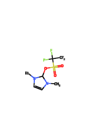 CCN1C=CN(C)C1OS(=O)(=O)C(F)(F)C(F)(F)F